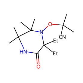 CCC1(CC)C(=O)NC(C)(C)C(C)(C)N1OC(C)(C)C#N